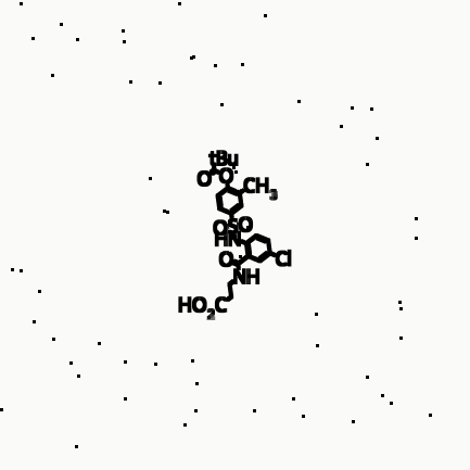 Cc1cc(S(=O)(=O)Nc2ccc(Cl)cc2C(=O)NCCC(=O)O)ccc1OC(=O)C(C)(C)C